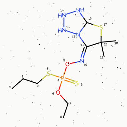 CCCSP(=S)(OCC)ON=C1N2NNNC2SC1(C)C